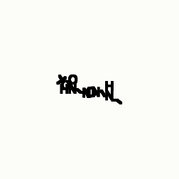 CCCNCCN1CCN(CCNC(=O)OC(C)(C)C)CC1